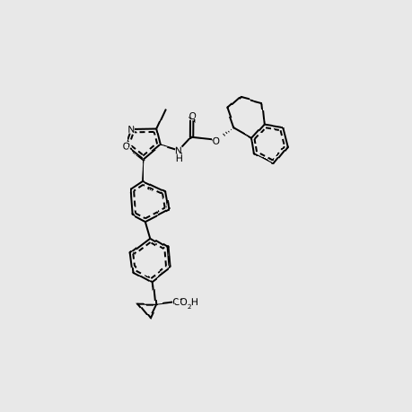 Cc1noc(-c2ccc(-c3ccc(C4(C(=O)O)CC4)cc3)cc2)c1NC(=O)O[C@@H]1CCCc2ccccc21